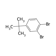 CC(C)(C)c1ccc(Br)c(Br)c1